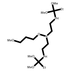 CCC(OC)(OC)PCCN(CCPC(CC)(OC)OC)OCCCOC